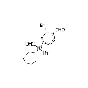 CC(C)[N+](C=O)(c1ccc(C=O)c(Br)c1)C1CCCCC1